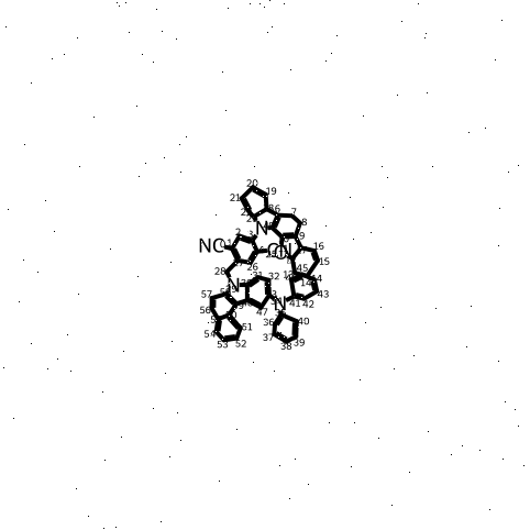 N#Cc1cc(N2C3=C(CCC4=C3OC3CCC=CC43)C3C=CC=CC32)c(C#N)cc1Cn1c2ccc(N(c3ccccc3)c3ccccc3)cc2c2c3ccccc3ccc21